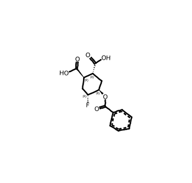 O=C(O[C@@H]1C[C@@H](C(=O)O)[C@H](C(=O)O)C[C@H]1F)c1ccccc1